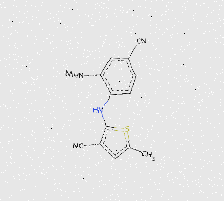 CNc1cc(C#N)ccc1Nc1sc(C)cc1C#N